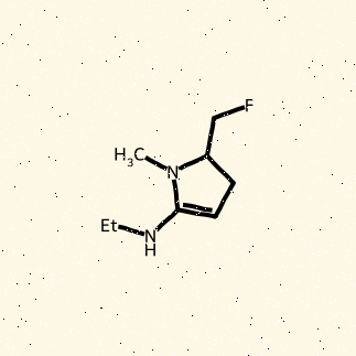 CCNC1=CCC(CF)N1C